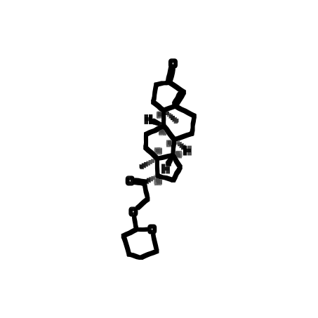 C[C@]12CC[C@H]3[C@@H](CCC4=CC(=O)CC[C@@]43C)[C@@H]1CC[C@@H]2C(=O)COC1CCCCO1